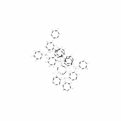 C=C1/C(=C\C2=C(C)C(c3ccccc3)(c3ccccc3)c3cccc(N(c4ccccc4)c4ccc(-c5ccccc5)cc4)c32)C(c2ccccc2)(c2ccccc2)c2cc(N(c3ccccc3)c3ccc(-c4ccccc4)cc3)ccc21